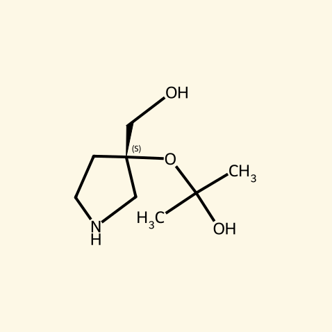 CC(C)(O)O[C@@]1(CO)CCNC1